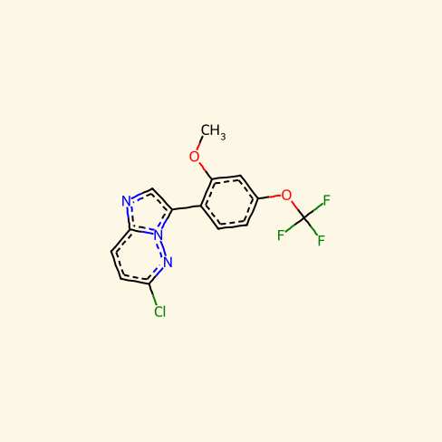 COc1cc(OC(F)(F)F)ccc1-c1cnc2ccc(Cl)nn12